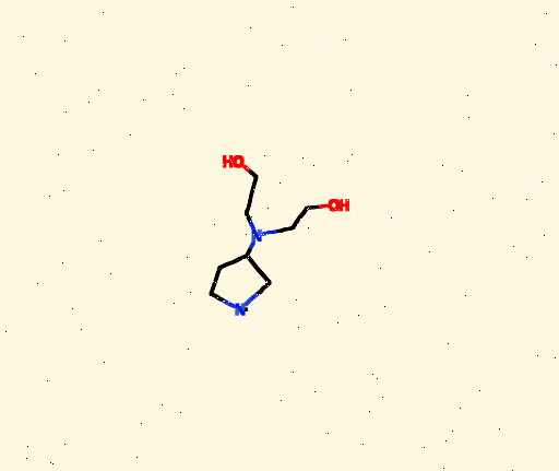 OCCN(CCO)C1CC[N]C1